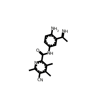 CC(=N)c1cc(NC(=O)c2nc(C)c(C#N)c(C)c2C)ccc1N